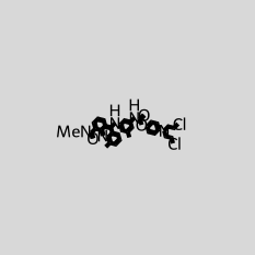 CNC(=O)c1cccc2c(Nc3cc(C)cc(NC(=O)Oc4ccc(N(CCCl)CCCl)cc4)c3)c3cccc(C)c3nc12